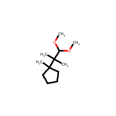 COC(OC)C(C)(C)C1(C)CCCC1